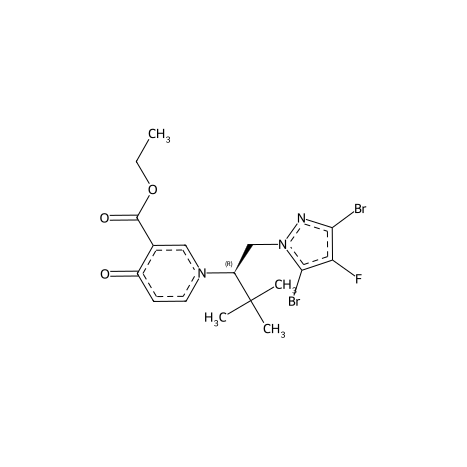 CCOC(=O)c1cn([C@@H](Cn2nc(Br)c(F)c2Br)C(C)(C)C)ccc1=O